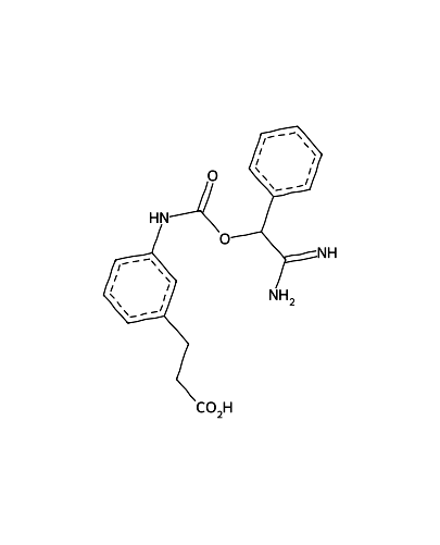 N=C(N)C(OC(=O)Nc1cccc(CCC(=O)O)c1)c1ccccc1